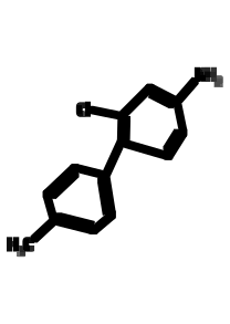 Cc1ccc(-c2ccc(N)cc2Cl)cc1